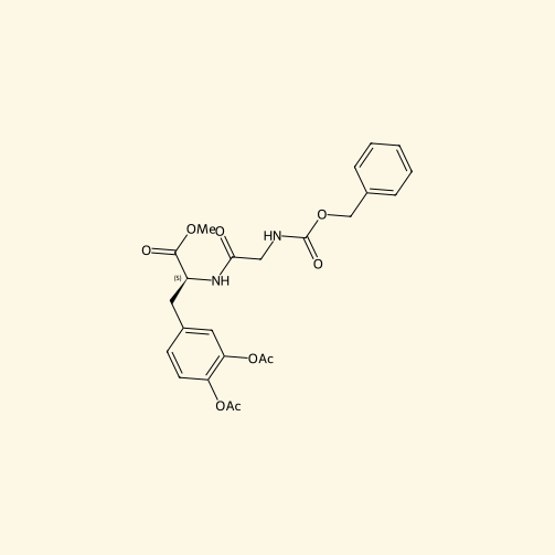 COC(=O)[C@H](Cc1ccc(OC(C)=O)c(OC(C)=O)c1)NC(=O)CNC(=O)OCc1ccccc1